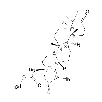 CC(C)C1=C2[C@H]3CC[C@@H]4[C@@]5(C)CCC(=O)C(C)(C)[C@@H]5CC[C@@]4(C)[C@]3(C)CC[C@@]2(NC(=O)OC(C)(C)C)CC1=O